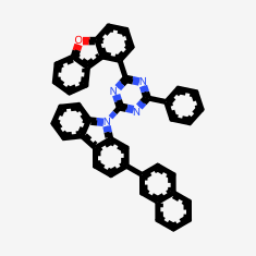 c1ccc(-c2nc(-c3cccc4oc5ccccc5c34)nc(-n3c4ccccc4c4ccc(-c5ccc6ccccc6c5)cc43)n2)cc1